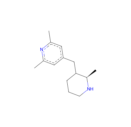 Cc1cc(CC2CCCN[C@@H]2C)cc(C)n1